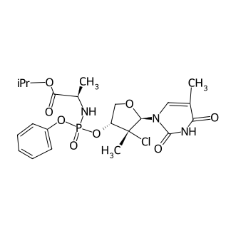 Cc1cn([C@@H]2OC[C@@H](OP(=O)(N[C@H](C)C(=O)OC(C)C)Oc3ccccc3)[C@@]2(C)Cl)c(=O)[nH]c1=O